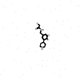 Cl.O=C(CF)NCc1ccc(F)c(C2CCNCC2)c1